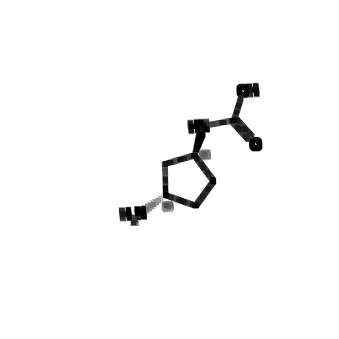 N[C@H]1CC[C@H](NC(=O)O)C1